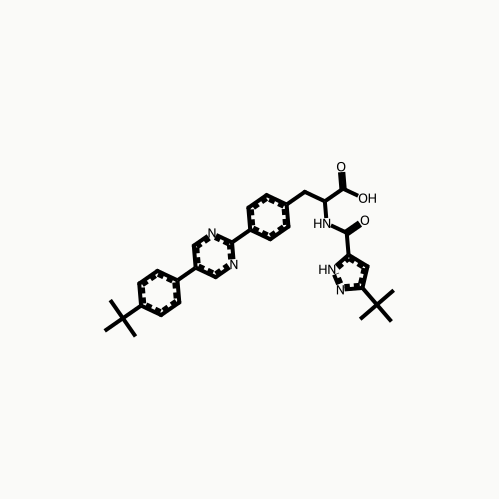 CC(C)(C)c1ccc(-c2cnc(-c3ccc(CC(NC(=O)c4cc(C(C)(C)C)n[nH]4)C(=O)O)cc3)nc2)cc1